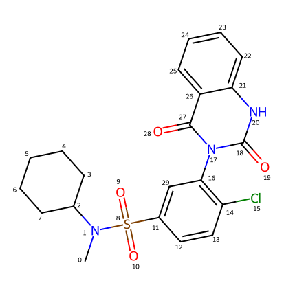 CN(C1CCCCC1)S(=O)(=O)c1ccc(Cl)c(-n2c(=O)[nH]c3ccccc3c2=O)c1